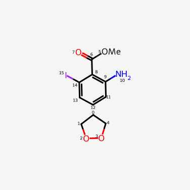 C1COOC1.COC(=O)c1c(N)cccc1I